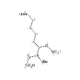 CCCCCCCCCCCCCCC(OS(=O)(=O)O)C(CCCC)OS(=O)(=O)O